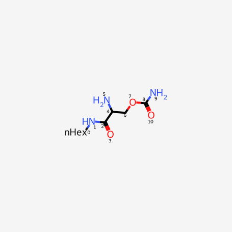 CCCCCCNC(=O)C(N)COC(N)=O